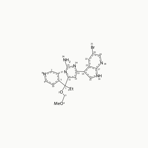 CCC(OCOC)(c1ccncc1)c1cc(-c2c[nH]c3ncc(Br)cc23)nc(N)n1